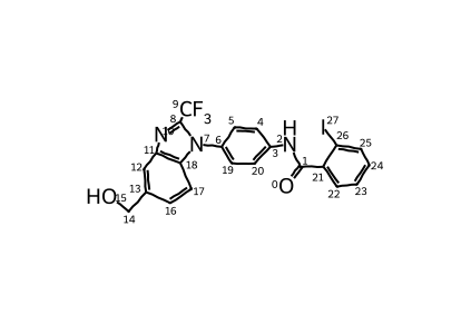 O=C(Nc1ccc(-n2c(C(F)(F)F)nc3cc(CO)ccc32)cc1)c1ccccc1I